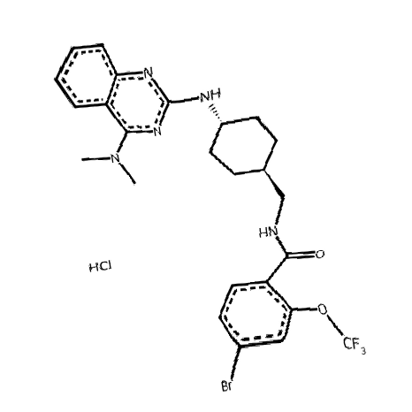 CN(C)c1nc(N[C@H]2CC[C@H](CNC(=O)c3ccc(Br)cc3OC(F)(F)F)CC2)nc2ccccc12.Cl